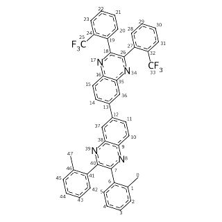 Cc1ccccc1-c1nc2ccc(-c3ccc4nc(-c5ccccc5C(F)(F)F)c(-c5ccccc5C(F)(F)F)nc4c3)cc2nc1-c1ccccc1C